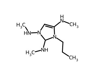 CCCN1C(NC)=CN(NC)C1NC